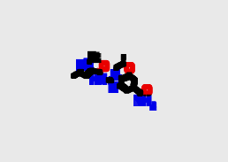 CCn1nc(C)cc1C(=O)Nc1nc2cc(C(N)=O)cc3c2n1C[C@@H](C)O3